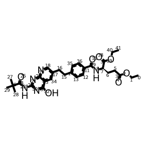 CCOC(=O)CC[C@@H](NC(=O)c1ccc(CCc2cnc3nc(NC(=O)C(C)(C)C)nc(O)c3c2)cc1)C(=O)OCC